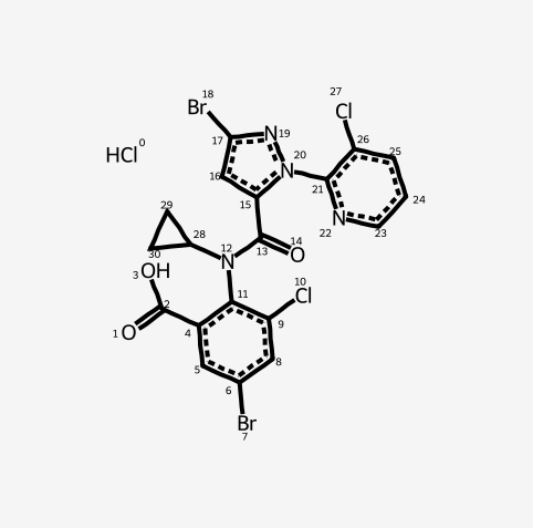 Cl.O=C(O)c1cc(Br)cc(Cl)c1N(C(=O)c1cc(Br)nn1-c1ncccc1Cl)C1CC1